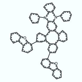 c1ccc(-n2c3ccccc3n(-c3ccccc3)c3cc4c5ccc(-c6cccc7c6oc6ccccc67)cc5c5cc(-c6cccc7c6oc6ccccc67)ccc5c5ccccc5c4cc32)cc1